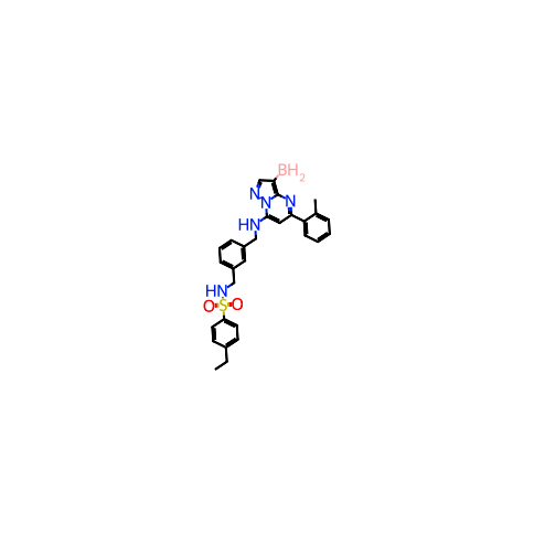 Bc1cnn2c(NCc3cccc(CNS(=O)(=O)c4ccc(CC)cc4)c3)cc(-c3ccccc3C)nc12